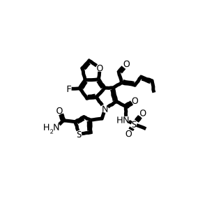 C/C=C\C=C(/C=O)c1c(C(=O)NS(C)(=O)=O)n(Cc2csc(C(N)=O)c2)c2cc(F)c3ccoc3c12